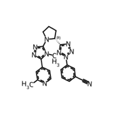 Cc1cc(-c2nnc(N3CCC[C@@H]3c3nnn(-c4cccc(C#N)c4)n3)n2C)ccn1